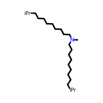 CC(C)CCCCCCCCCN(C)CCCCCCCCCC(C)C